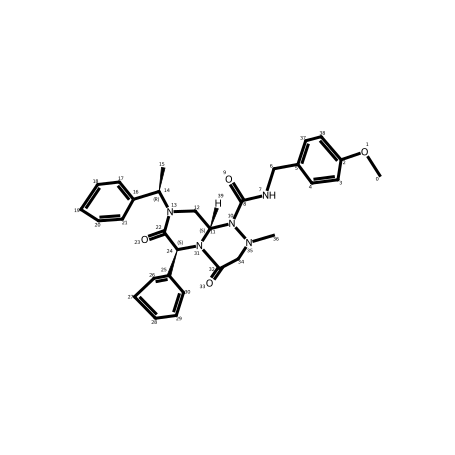 COc1ccc(CNC(=O)N2[C@H]3CN([C@H](C)c4ccccc4)C(=O)[C@H](c4ccccc4)N3C(=O)CN2C)cc1